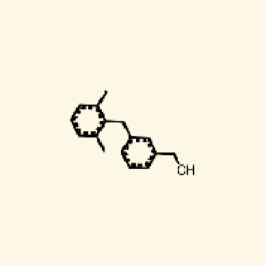 Cc1cccc(C)c1Cc1cccc(CO)c1